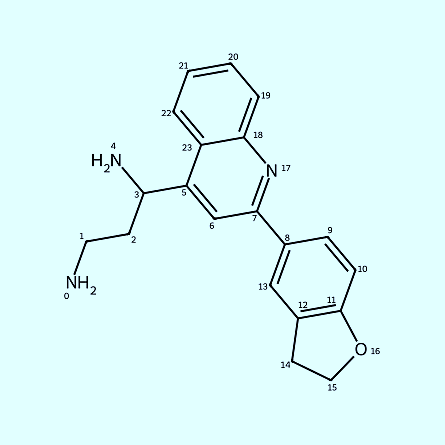 NCCC(N)c1cc(-c2ccc3c(c2)CCO3)nc2ccccc12